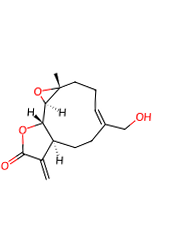 C=C1C(=O)O[C@@H]2[C@H]3O[C@]3(C)CC/C=C(\CO)CC[C@@H]12